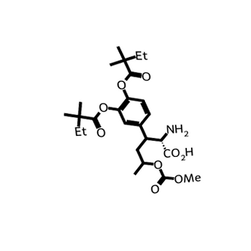 CCC(C)(C)C(=O)Oc1ccc(C(CC(C)OC(=O)OC)[C@H](N)C(=O)O)cc1OC(=O)C(C)(C)CC